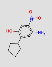 Nc1cc(C2CCCC2)c(O)cc1[N+](=O)[O-]